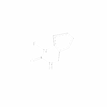 O=C1NCc2ccccc2N1F